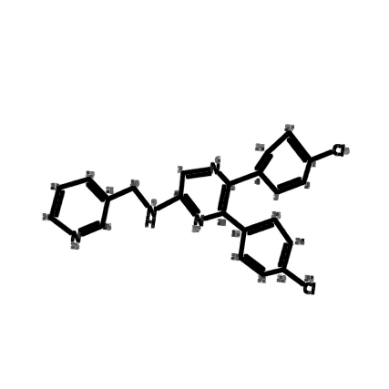 Clc1ccc(-c2ncc(NCc3cccnc3)nc2-c2ccc(Cl)cc2)cc1